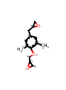 Cc1cc(CC2CO2)cc(C)c1OCC1CO1